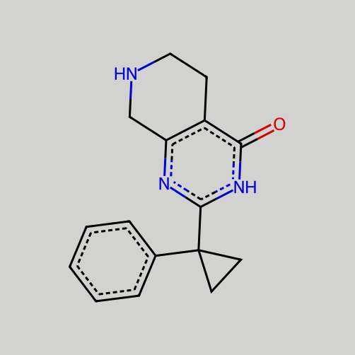 O=c1[nH]c(C2(c3ccccc3)CC2)nc2c1CCNC2